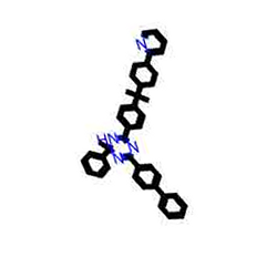 CC1(c2ccccc2)N=C(c2ccc(-c3ccccc3)cc2)N=C(c2ccc(C(C)(C)C3CCC(c4ccccn4)CC3)cc2)N1